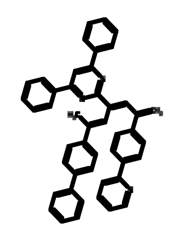 C=C(/C=C(\C=C(/C)c1ccc(-c2ccccc2)cc1)c1nc(-c2ccccc2)cc(-c2ccccc2)n1)c1ccc(-c2ccccn2)cc1